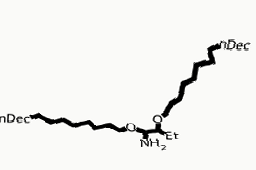 CCCCCCCCCCCCCCCCCCOC(N)C(CC)OCCCCCCCCCCCCCCCCCC